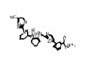 N#Cc1cnc(N2CCCC(N[C@@H]3CCCC[C@H]3Nc3ncc(-c4cccc(C(N)=O)c4)o3)C2)nc1